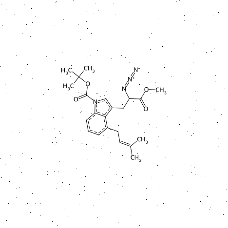 COC(=O)C(Cc1cn(C(=O)OC(C)(C)C)c2cccc(CC=C(C)C)c12)N=[N+]=[N-]